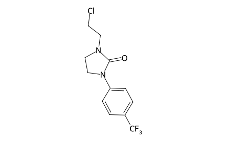 O=C1N(CCCl)CCN1c1ccc(C(F)(F)F)cc1